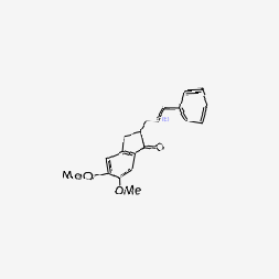 COc1cc2c(cc1OC)C(=O)C(C/C=C/c1ccccc1)C2